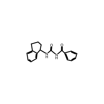 O=C(NC(=O)c1ccccc1)NC1CCCc2ccccc21